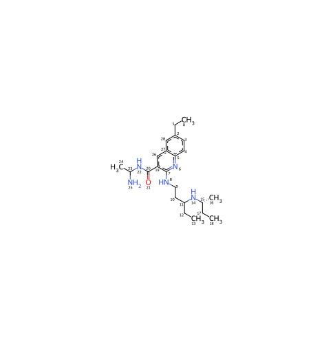 CCc1ccc2nc(NCCC(CC)N[C@H](C)CC)c(C(=O)NC(C)N)cc2c1